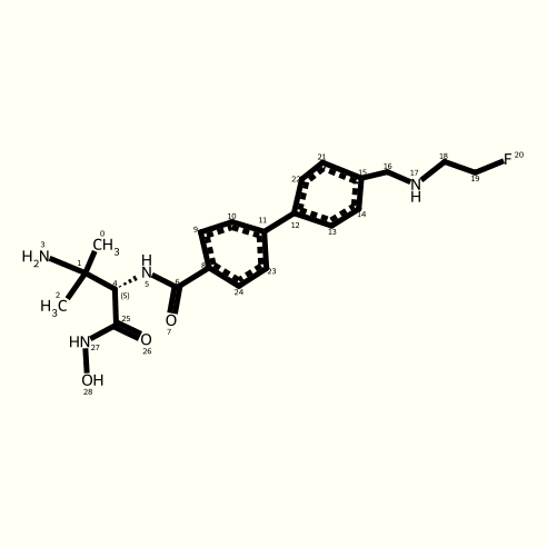 CC(C)(N)[C@H](NC(=O)c1ccc(-c2ccc(CNCCF)cc2)cc1)C(=O)NO